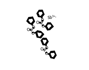 [O-]P(Oc1ccccc1)Oc1ccccc1.[O-]P(Oc1ccccc1)Oc1ccccc1.[O-]P(Oc1ccccc1)Oc1ccccc1.[Sb+3]